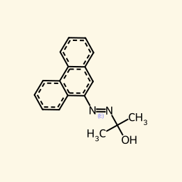 CC(C)(O)/N=N/c1cc2ccccc2c2ccccc12